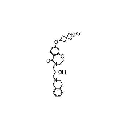 CC(=O)N1CC2(CC(Oc3ccc4c(c3)OCCN(CC(O)CN3CCc5ccccc5C3)C4=O)C2)C1